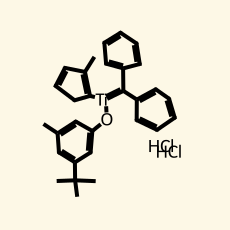 CC1=[C]([Ti]([O]c2cc(C)cc(C(C)(C)C)c2)=[C](c2ccccc2)c2ccccc2)CC=C1.Cl.Cl